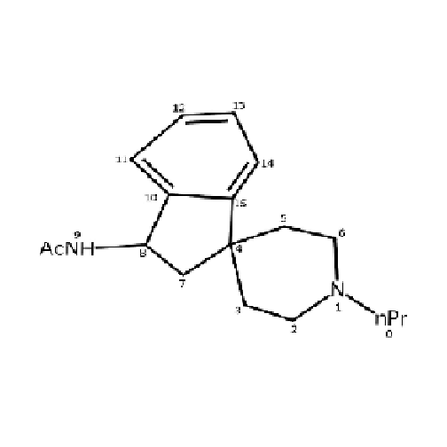 CCCN1CCC2(CC1)CC(NC(C)=O)c1ccccc12